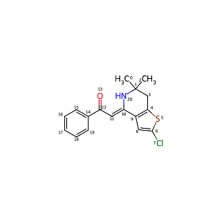 CC1(C)Cc2sc(Cl)cc2C(=CC(=O)c2ccccc2)N1